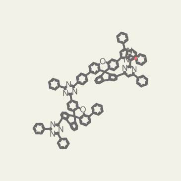 c1ccc(-c2cc(-c3ccc4c(c3)Oc3ccc(-c5ccc(-c6nc(-c7ccccc7)nc(-c7ccc8c(c7)Oc7c(-c9ccccc9)cccc7C87c8ccccc8-c8c(-c9nc(-c%10ccccc%10)nc(-c%10ccccc%10)n9)cccc87)n6)cc5)cc3C43c4ccccc4-c4ccc(-c5cc(-c6ccccc6)nc(-c6ccccc6)n5)cc43)nc(-c3ccccc3)n2)cc1